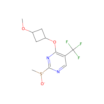 COC1CC(Oc2nc([S+](C)[O-])ncc2C(F)(F)F)C1